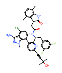 Cc1ccc(C)c2c1NC(=O)C2CC(=O)N[C@@H](Cc1cc(F)cc(F)c1)c1nc(C#CC(C)(C)O)ccc1-c1ccc(Cl)c2c(N)nn(C)c12